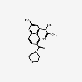 CC(=N)N(C)c1cc(C)nc2ccc(C(=O)N3CCOCC3)cc12